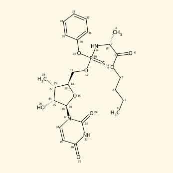 CCCCOC(=O)[C@@H](C)NP(=S)(OC[C@H]1O[C@@H](n2ccc(=O)[nH]c2=O)[C@H](O)[C@@H]1C)Oc1ccccc1